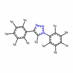 [2H]c1c([2H])c([2H])c(-c2nnn(-c3c([2H])c([2H])c([2H])c([2H])c3[2H])c2[2H])c([2H])c1[2H]